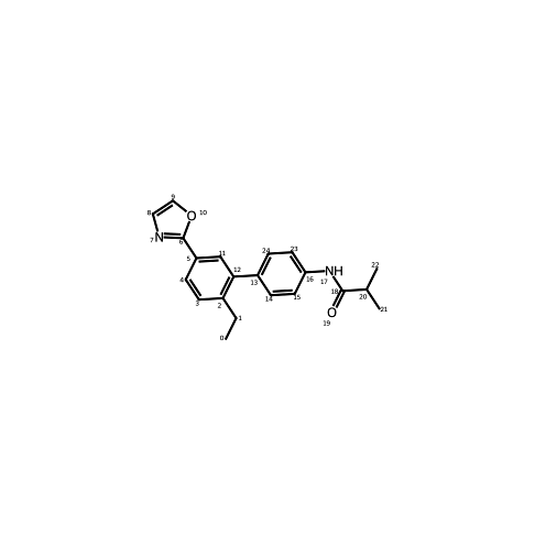 CCc1ccc(-c2ncco2)cc1-c1ccc(NC(=O)C(C)C)cc1